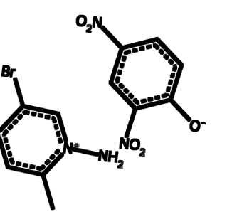 Cc1ccc(Br)c[n+]1N.O=[N+]([O-])c1ccc([O-])c([N+](=O)[O-])c1